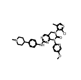 COc1ccc(N2C(=O)N(c3c(C)csc3Cl)Cc3cnc(Nc4ccc(C5CCN(C)CC5)cc4)nc32)nc1